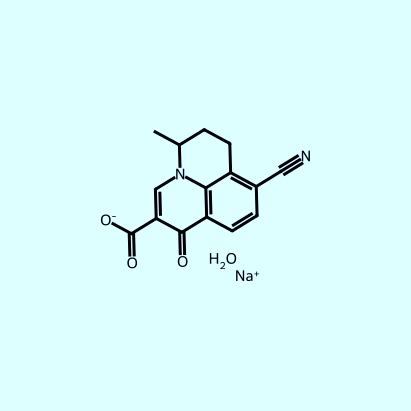 CC1CCc2c(C#N)ccc3c(=O)c(C(=O)[O-])cn1c23.O.[Na+]